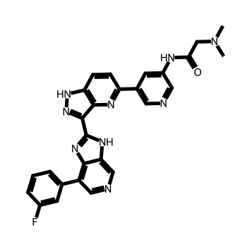 CN(C)CC(=O)Nc1cncc(-c2ccc3[nH]nc(-c4nc5c(-c6cccc(F)c6)cncc5[nH]4)c3n2)c1